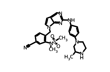 CC1CN(c2ccc(Nc3ncc4ccn(Cc5ccc(C#N)cc5N(C)S(C)(=O)=O)c4n3)cc2)CCN1